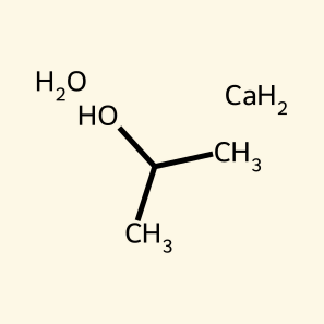 CC(C)O.O.[CaH2]